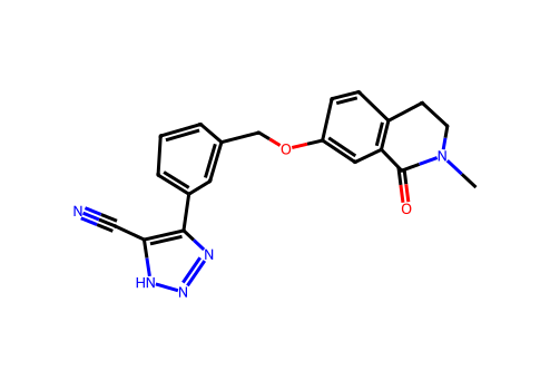 CN1CCc2ccc(OCc3cccc(-c4nn[nH]c4C#N)c3)cc2C1=O